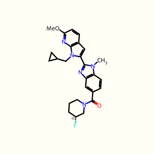 COc1ccc2cc(-c3nc4cc(C(=O)N5CCC[C@H](F)C5)ccc4n3C)n(CC3CC3)c2n1